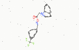 O=C(Cn1ccc2ccccc21)ON=Cc1ccc(C(F)(F)F)cc1